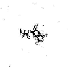 CCC(C)(C)C(=O)OC1C2CC(C1OC)C1C(=O)OC(=O)C21